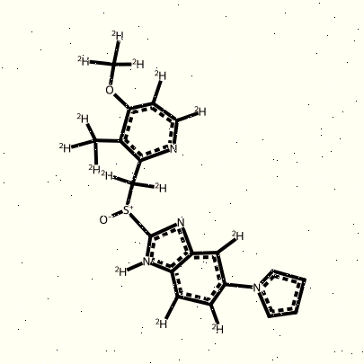 [2H]c1nc(C([2H])([2H])[S+]([O-])c2nc3c([2H])c(-n4cccc4)c([2H])c([2H])c3n2[2H])c(C([2H])([2H])[2H])c(OC([2H])([2H])[2H])c1[2H]